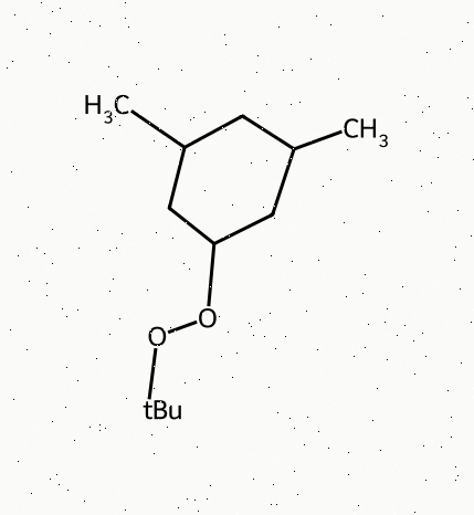 CC1CC(C)CC(OOC(C)(C)C)C1